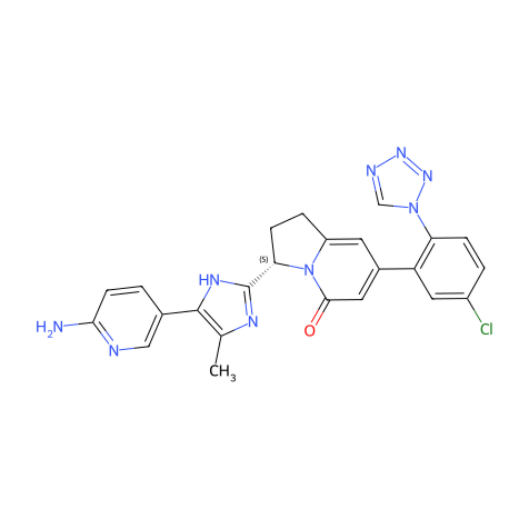 Cc1nc([C@@H]2CCc3cc(-c4cc(Cl)ccc4-n4cnnn4)cc(=O)n32)[nH]c1-c1ccc(N)nc1